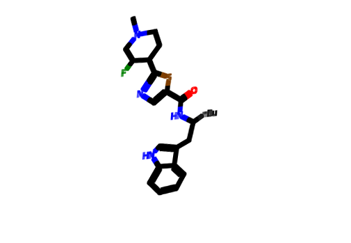 CCCCC(Cc1c[nH]c2ccccc12)NC(=O)c1cnc(C2CCN(C)CC2F)s1